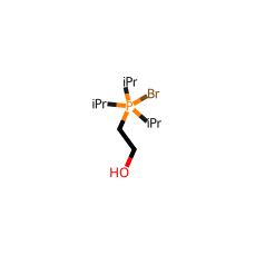 CC(C)P(Br)(CCO)(C(C)C)C(C)C